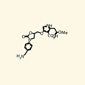 COC(=O)Cc1[nH]cc(OCC2CN(c3ccc(CN)cc3)C(=O)O2)c1C(=O)O